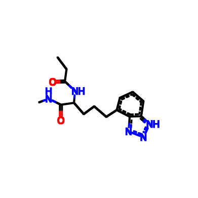 CCC(=O)NC(CCCc1cccc2[nH]nnc12)C(=O)NC